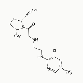 C#C[C@H]1CC[C@@H](C#N)N1C(=O)CNCCNc1ncc(C(F)(F)F)cc1Cl